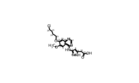 COc1cc2c(Nc3cc(CC(=O)O)[nH]n3)ncnc2cc1OCCCCCl